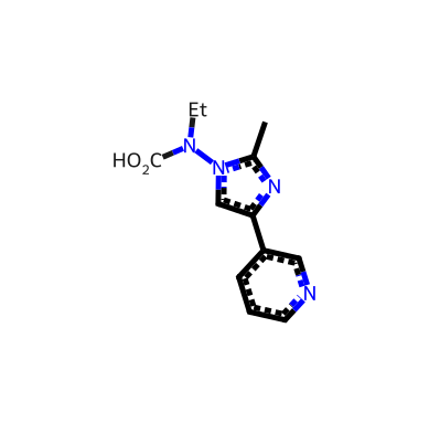 CCN(C(=O)O)n1cc(-c2cccnc2)nc1C